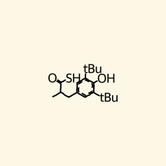 CC(Cc1cc(C(C)(C)C)c(O)c(C(C)(C)C)c1)C(=O)S